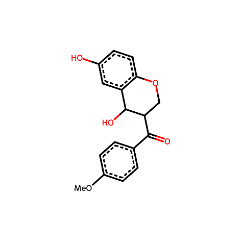 COc1ccc(C(=O)C2COc3ccc(O)cc3C2O)cc1